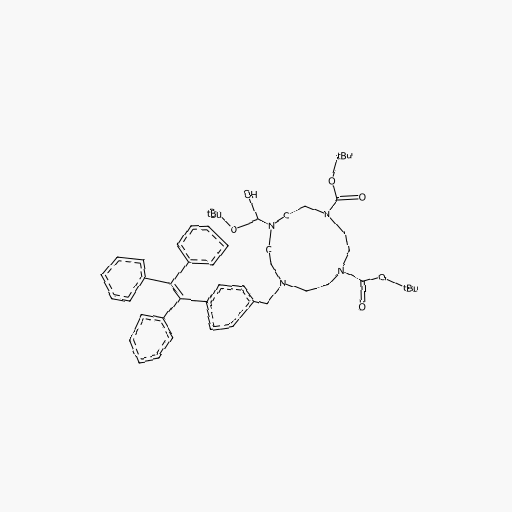 CC(C)(C)OC(=O)N1CCN(Cc2ccc(C(=C(c3ccccc3)c3ccccc3)c3ccccc3)cc2)CCN(C(O)OC(C)(C)C)CCN(C(=O)OC(C)(C)C)CC1